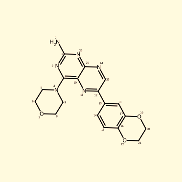 Nc1nc(N2CCOCC2)c2nc(-c3ccc4c(c3)OCCO4)cnc2n1